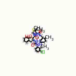 Cc1ccccc1CNC(=O)[C@H]1N(C(=O)[C@@H](O)[C@H](Cc2ccccc2)NC(=O)Nc2cccc(Cl)c2C)CSC1(C)C